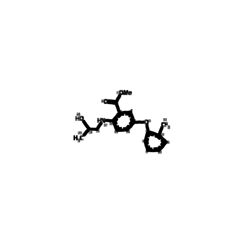 COC(=O)c1cc(Oc2ccccc2C(F)(F)F)ccc1NCC(C)O